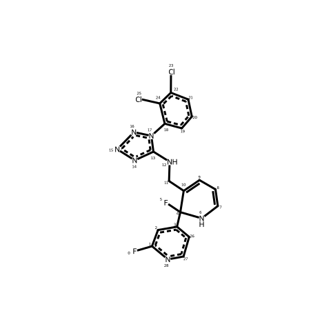 Fc1cc(C2(F)NC=CC=C2CNc2nnnn2-c2cccc(Cl)c2Cl)ccn1